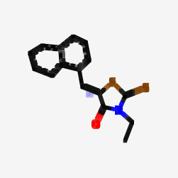 CCN1C(=O)/C(=C/c2cccc3ccccc23)SC1=S